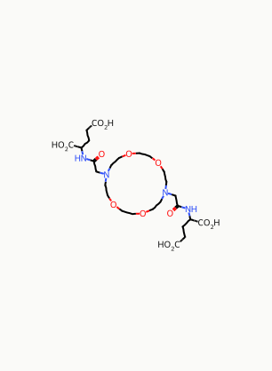 O=C(O)CCC(NC(=O)CN1CCOCCOCCN(CC(=O)NC(CCC(=O)O)C(=O)O)CCOCCOCC1)C(=O)O